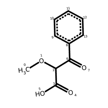 COC(C(=O)O)C(=O)c1ccccc1